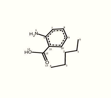 CCCCC.Nc1ccccc1C(=O)O